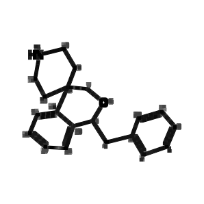 c1ccc(CC2OCC3(CCNCC3)c3ccccc32)cc1